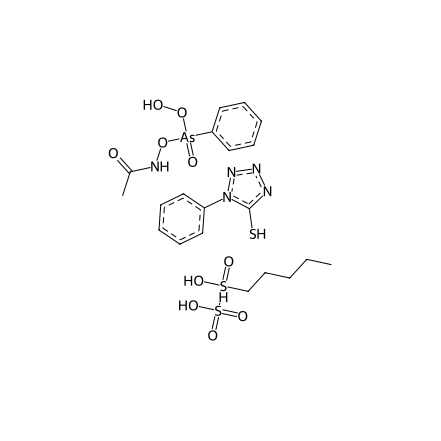 CC(=O)NO[As](=O)(OO)c1ccccc1.CCCCC[SH](=O)(O)S(=O)(=O)O.Sc1nnnn1-c1ccccc1